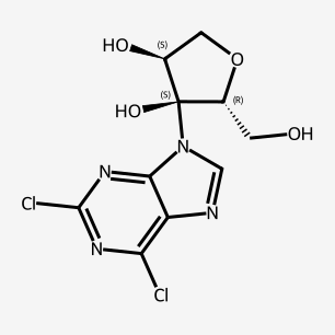 OC[C@H]1OC[C@H](O)[C@@]1(O)n1cnc2c(Cl)nc(Cl)nc21